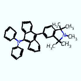 CN1C(C)(C)c2ccc(-c3c4ccccc4c(N(c4ccccc4)c4ccccc4)c4ccccc34)cc2C1(C)C